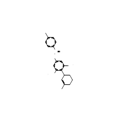 CC(=O)Oc1cc(OS(=O)c2ccc(C)cc2)cc(OC(C)=O)c1C1C=C(C)CCC1